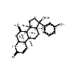 C=C1CC2NC(=O)C=C[C@]2(C)[C@@H]2CC[C@@]3(C)[C@@H](CCC3(C(=O)O)c3cccc(C(C)(C)C)c3)[C@H]12